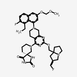 CCc1c(F)ccc2cc(OCOC)cc(N3CCc4c(nc(OCC56CCCN5C/C(=C\F)C6)nc4N4CCC[C@]5(C4)NC(=O)NC5=O)C3)c12